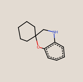 c1ccc2c(c1)NCC1(CCCCC1)O2